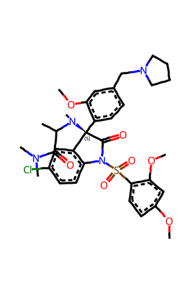 COc1ccc(S(=O)(=O)N2C(=O)[C@](c3ccc(CN4CCCC4)cc3OC)(N(C)C(C)C(=O)N(C)C)c3cc(Cl)ccc32)c(OC)c1